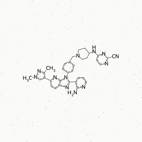 Cc1nn(C)cc1-c1ccc2nc(-c3cccnc3N)n(-c3ccc(CN4CCC(Nc5ccnc(C#N)n5)CC4)cc3)c2n1